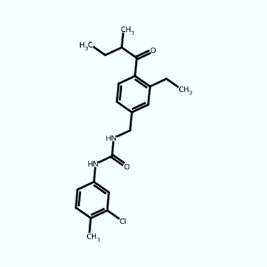 CCc1cc(CNC(=O)Nc2ccc(C)c(Cl)c2)ccc1C(=O)C(C)CC